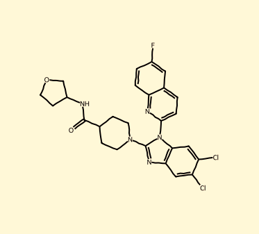 O=C(NC1CCOC1)C1CCN(c2nc3cc(Cl)c(Cl)cc3n2-c2ccc3cc(F)ccc3n2)CC1